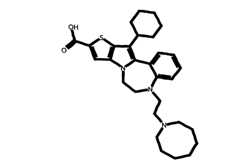 O=C(O)c1cc2c(s1)c(C1CCCCC1)c1n2CCN(CCN2CCCCCCC2)c2ccccc2-1